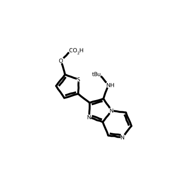 CC(C)(C)Nc1c(-c2ccc(OC(=O)O)s2)nc2cnccn12